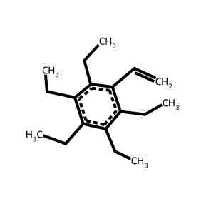 C=Cc1c(CC)c(CC)c(CC)c(CC)c1CC